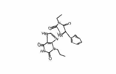 CCCn1c(=O)[nH]c(=O)c2[nH]cnc21.CCN1C(=O)NC(c2ccccc2)C1=O